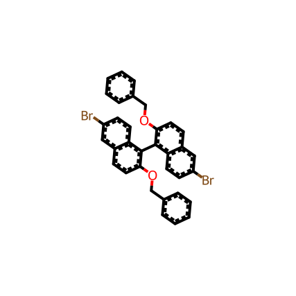 Brc1ccc2c(-c3c(OCc4ccccc4)ccc4cc(Br)ccc34)c(OCc3ccccc3)ccc2c1